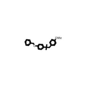 COc1ccc(CC(C)(C)c2ccc(OCc3ccccc3)cc2)cc1